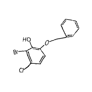 Oc1c(OCc2ccccc2)ccc(Cl)c1Br